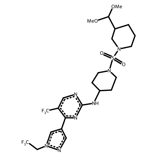 COC(OC)C1CCCN(S(=O)(=O)N2CCC(Nc3ncc(C(F)(F)F)c(-c4cnn(CC(F)(F)F)c4)n3)CC2)C1